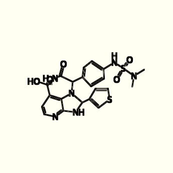 CN(C)S(=O)(=O)Nc1ccc(C(C(N)=O)N2c3c(C(=O)O)ccnc3NC2c2ccsc2)cc1